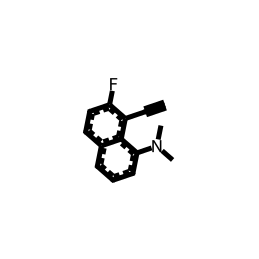 C#Cc1c(F)ccc2cccc(N(C)C)c12